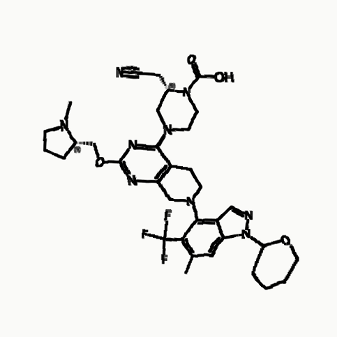 Cc1cc2c(cnn2C2CCCCO2)c(N2CCc3c(nc(OC[C@@H]4CCCN4C)nc3N3CCN(C(=O)O)[C@@H](CC#N)C3)C2)c1C(F)(F)F